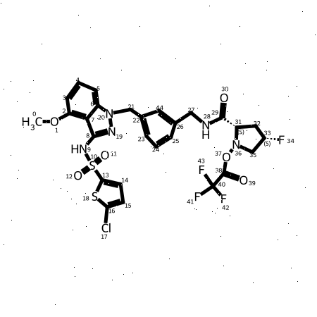 COc1cccc2c1c(NS(=O)(=O)c1ccc(Cl)s1)nn2Cc1cccc(CNC(=O)[C@@H]2C[C@H](F)CN2OC(=O)C(F)(F)F)c1